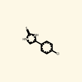 S=c1[nH]cc(-c2ccc(Cl)cc2)[nH]1